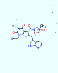 CC(C)Cn1c2c(c(=O)n(C)c1=O)C(C(=O)N1C[C@](C)(O)CO1)C(Cc1c[nH]c3ncccc13)S2